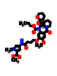 C=CCOC(=O)N1c2cc(OCCCC(=O)Nc3cc(C(=O)OC)n(C)c3)c(OC)cc2C(=O)N2CCCC[C@H]2C1OC1CCCCO1